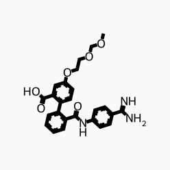 COCOCCOc1ccc(-c2ccccc2C(=O)Nc2ccc(C(=N)N)cc2)c(C(=O)O)c1